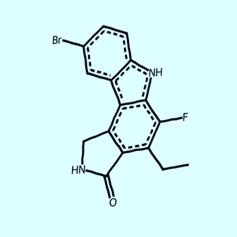 CCc1c2c(c3c([nH]c4ccc(Br)cc43)c1F)CNC2=O